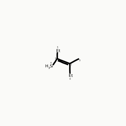 CCC(C)=C([SiH3])CC